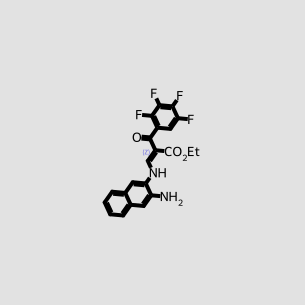 CCOC(=O)/C(=C\Nc1cc2ccccc2cc1N)C(=O)c1cc(F)c(F)c(F)c1F